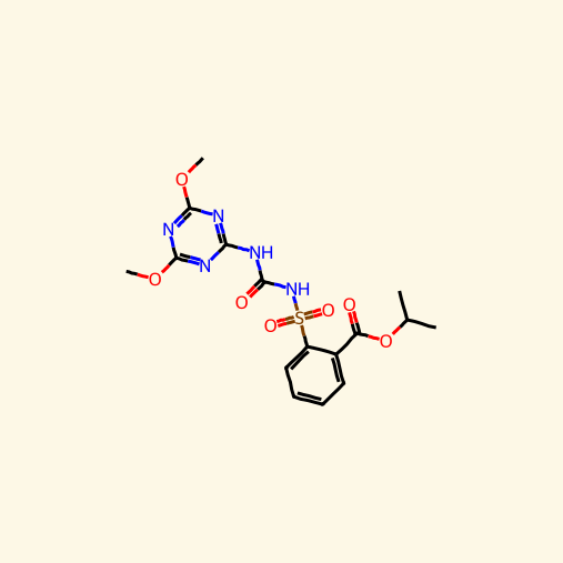 COc1nc(NC(=O)NS(=O)(=O)c2ccccc2C(=O)OC(C)C)nc(OC)n1